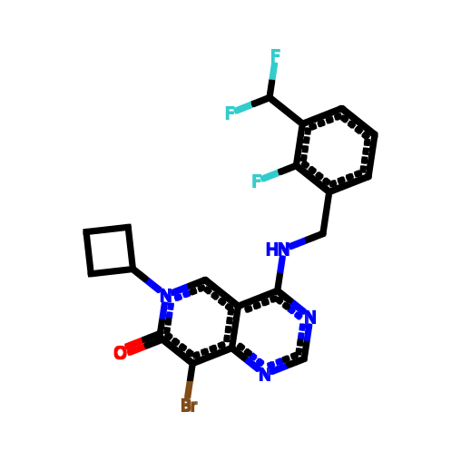 O=c1c(Br)c2ncnc(NCc3cccc(C(F)F)c3F)c2cn1C1CCC1